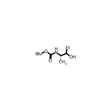 [CH2]CC(O)[C@H](C)NC(=O)OC(C)(C)C